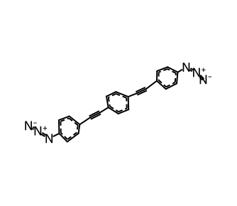 [N-]=[N+]=Nc1ccc(C#Cc2ccc(C#Cc3ccc(N=[N+]=[N-])cc3)cc2)cc1